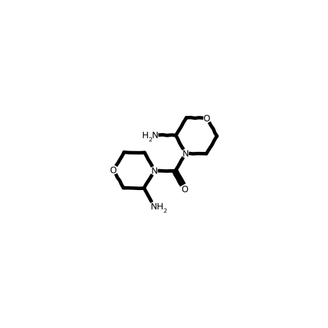 NC1COCCN1C(=O)N1CCOCC1N